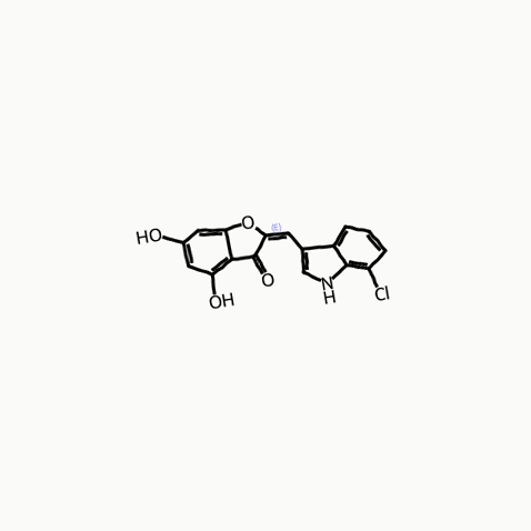 O=C1/C(=C\c2c[nH]c3c(Cl)cccc23)Oc2cc(O)cc(O)c21